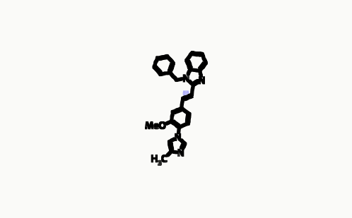 COc1cc(/C=C/c2nc3ccccc3n2Cc2ccccc2)ccc1-n1cnc(C)c1